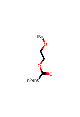 CCCCCC(=O)OCCOC(C)(C)C